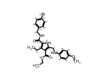 CCOC(=O)c1c(CNc2ccc(OC)cc2)[nH]c(C(=O)NCc2ccc(Br)cc2)c1CC